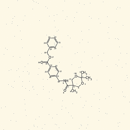 CC1(C)OCC(C)(C(=O)NCc2ccc(C(=O)OCc3ccccc3)cc2)CO1